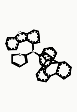 C1=CCCC(N(c2ccc3c(c2)-c2c4cccc2-c2cccc-3c2-c2ccccc2-4)c2cccc3oc4ccccc4c23)=C1